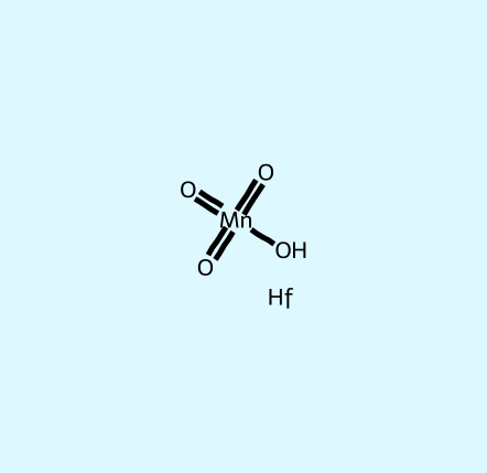 [Hf].[O]=[Mn](=[O])(=[O])[OH]